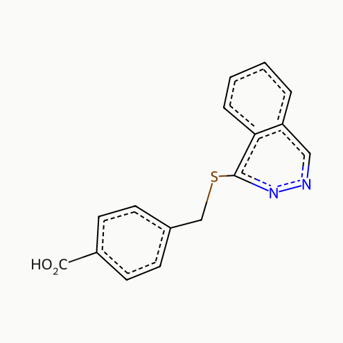 O=C(O)c1ccc(CSc2nncc3ccccc23)cc1